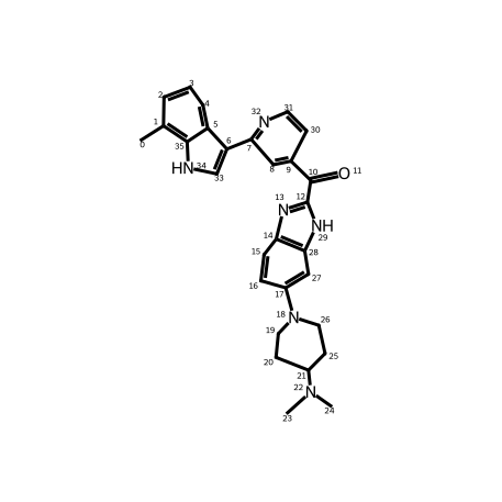 Cc1cccc2c(-c3cc(C(=O)c4nc5ccc(N6CCC(N(C)C)CC6)cc5[nH]4)ccn3)c[nH]c12